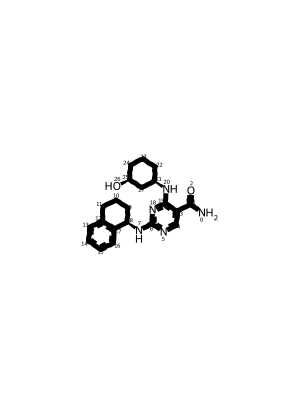 NC(=O)c1cnc(N[C@@H]2CCCc3ccccc32)nc1N[C@@H]1CCC[C@H](O)C1